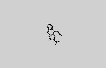 C=C=CC1c2ccccc2Sc2ccc(C(C)C)cc21